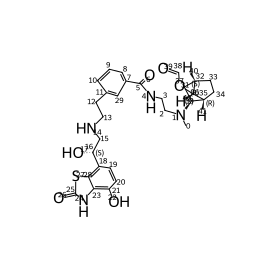 CN(CCNC(=O)c1cccc(CCNC[C@@H](O)c2ccc(O)c3[nH]c(=O)sc23)c1)[C@H]1C[C@@H]2CC[C@H]1[C@@H]2OC=O